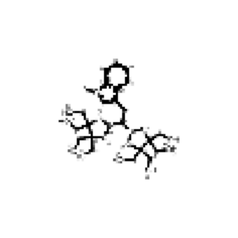 Cn1cc(CC(B2OC(CO)(CO)C(CO)(CO)O2)B2OC(CO)(CO)C(CO)(CO)O2)c2ccccc21